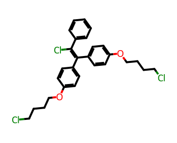 ClCCCCOc1ccc(C(=C(Cl)c2ccccc2)c2ccc(OCCCCCl)cc2)cc1